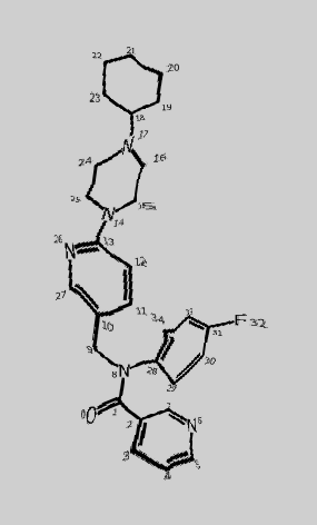 O=C(c1cccnc1)N(Cc1ccc(N2CCN(C3CCCCC3)CC2)nc1)c1ccc(F)cc1